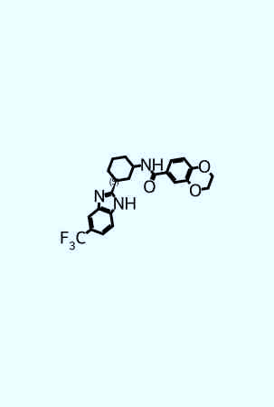 O=C(NC1CCC[C@H](c2nc3cc(C(F)(F)F)ccc3[nH]2)C1)c1ccc2c(c1)OCCO2